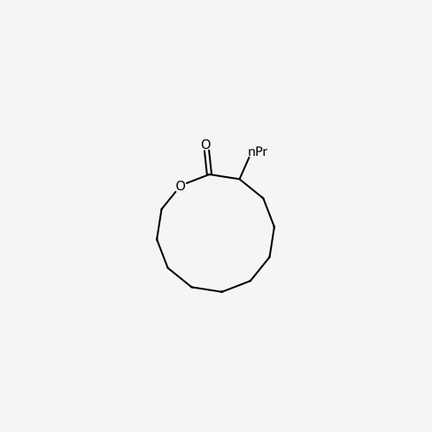 CCCC1CCCCCCCCCOC1=O